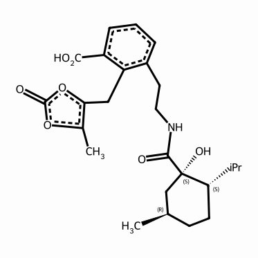 Cc1oc(=O)oc1Cc1c(CCNC(=O)[C@]2(O)C[C@H](C)CC[C@H]2C(C)C)cccc1C(=O)O